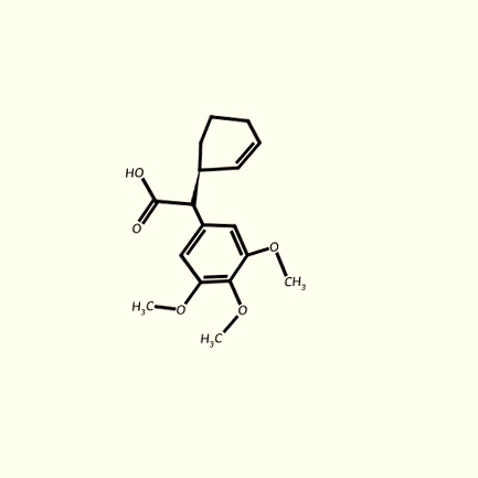 COc1cc(C(C(=O)O)[C@@H]2C=CCCC2)cc(OC)c1OC